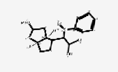 CCC(O)C(C1CC[C@H]2OC(OC)C[C@@H]12)[S+]([O-])c1ccccc1